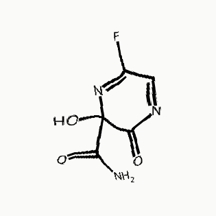 NC(=O)C1(O)N=C(F)C=NC1=O